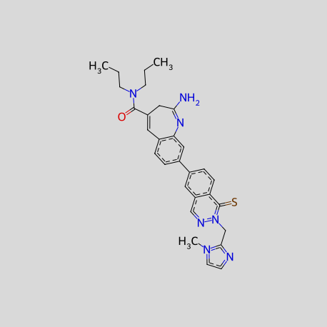 CCCN(CCC)C(=O)C1=Cc2ccc(-c3ccc4c(=S)n(Cc5nccn5C)ncc4c3)cc2N=C(N)C1